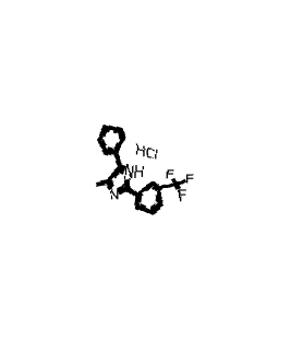 Cc1nc(-c2cccc(C(F)(F)F)c2)[nH]c1-c1ccccc1.Cl